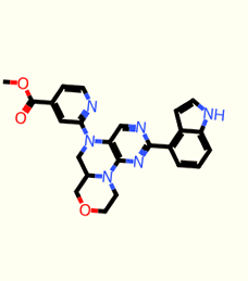 COC(=O)c1ccnc(N2CC3COCCN3c3nc(-c4cccc5[nH]ccc45)ncc32)c1